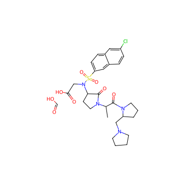 CC(C(=O)N1CCCC1CN1CCCC1)N1CCC(N(CC(=O)O)S(=O)(=O)c2ccc3cc(Cl)ccc3c2)C1=O.O=CO